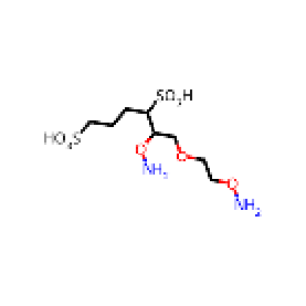 NOCCOCC(ON)C(CCCS(=O)(=O)O)S(=O)(=O)O